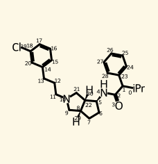 CC(C)C(C(=O)N[C@H]1CC[C@@H]2CN(CCCc3cccc(Cl)c3)C[C@@H]21)c1ccccc1